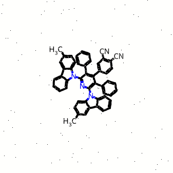 Cc1ccc2c(c1)c1ccccc1n2-c1nc(-n2c3ccccc3c3cc(C)ccc32)c(-c2ccccc2)c(-c2ccc(C#N)c(C#N)c2)c1-c1ccccc1